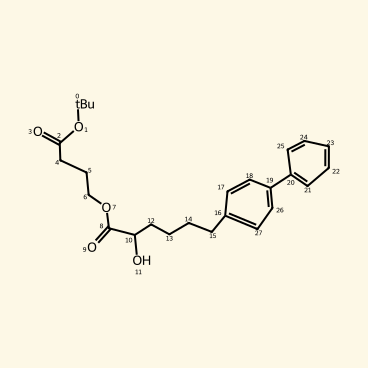 CC(C)(C)OC(=O)CCCOC(=O)C(O)CCCCc1ccc(-c2ccccc2)cc1